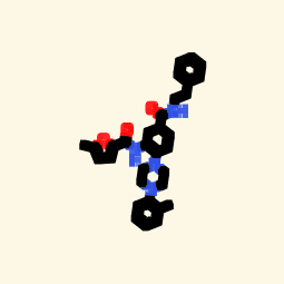 Cc1ccc(C(=O)NC2=C(N3CCN(c4ccccc4C)CC3)C=CC(C(=O)NCCc3ccccc3)C2)o1